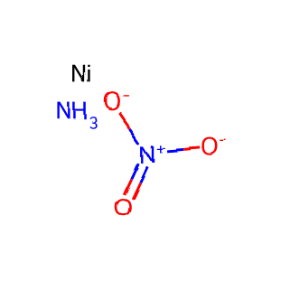 N.O=[N+]([O-])[O-].[Ni]